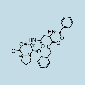 C[C@H](NC(=O)CC(NC(=O)c1ccccc1)C(=O)OCc1ccccc1)C(=O)N1CCC[C@H]1C(=O)O